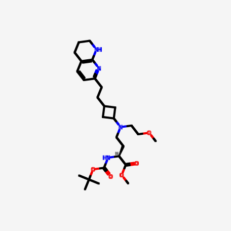 COCCN(CC[C@H](NC(=O)OC(C)(C)C)C(=O)OC)C1CC(CCc2ccc3c(n2)NCCC3)C1